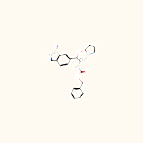 Cn1ncc2ccc(C(O)[C@@H](CN3CCCC3)NC(=O)OCc3ccccc3)cc21